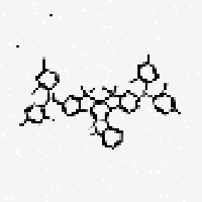 Cc1ccc(N(c2ccc3c(c2)C(C)(C)c2c4c(c5c(oc6ccccc65)c2-3)-c2ccc(N(c3ccc(C)cc3C)c3ccc(C)cc3C)cc2C4(C)C)c2ccc(C)cc2C)c(C)c1